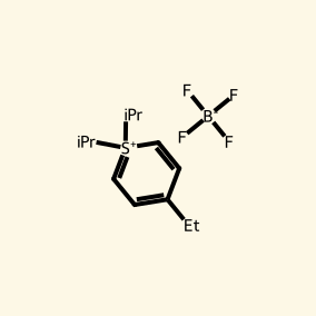 CCC1=CC=[S+](C(C)C)(C(C)C)C=C1.F[B-](F)(F)F